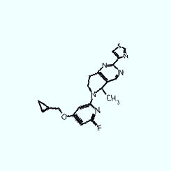 CC1c2cnc(-c3cscn3)nc2CCN1c1cc(OCC2CC2)cc(F)n1